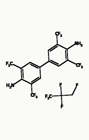 FCC(F)(F)C(F)(F)F.Nc1c(C(F)(F)F)cc(-c2cc(C(F)(F)F)c(N)c(C(F)(F)F)c2)cc1C(F)(F)F